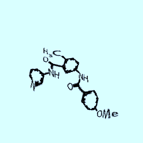 COc1ccc(C(=O)Nc2ccc(C)c(C(=O)Nc3cccnc3)c2)cc1